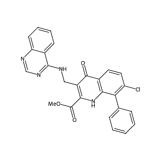 COC(=O)c1[nH]c2c(-c3ccccc3)c(Cl)ccc2c(=O)c1CNc1ncnc2ccccc12